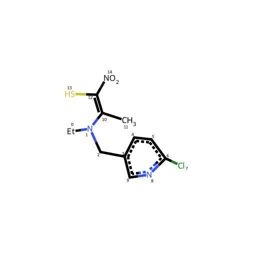 CCN(Cc1ccc(Cl)nc1)C(C)=C(S)[N+](=O)[O-]